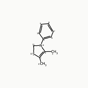 CC1=C(C)N(c2ccccc2)[C]S1